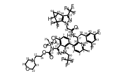 Cc1ccc(-c2ccc(Cl)c3c(N(C(=O)OCCN4CCOCC4)S(C)(=O)=O)nn(CC(F)(F)F)c23)c([C@H](Cc2cc(F)cc(F)c2)NC(=O)Cn2nc(C(F)(F)F)c3c2C(F)(F)[C@@H]2CC32)n1